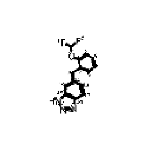 FC(F)Oc1ccccc1Cc1ccc2nn[nH]c2c1